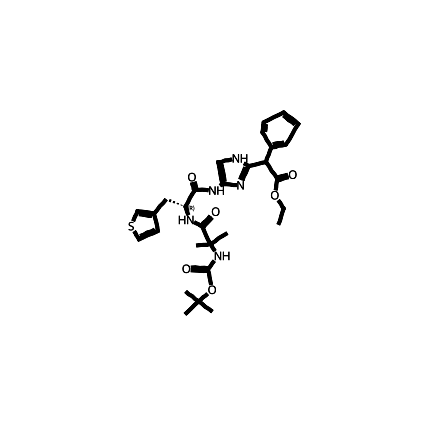 CCOC(=O)C(c1ccccc1)c1nc(NC(=O)[C@@H](Cc2ccsc2)NC(=O)C(C)(C)NC(=O)OC(C)(C)C)c[nH]1